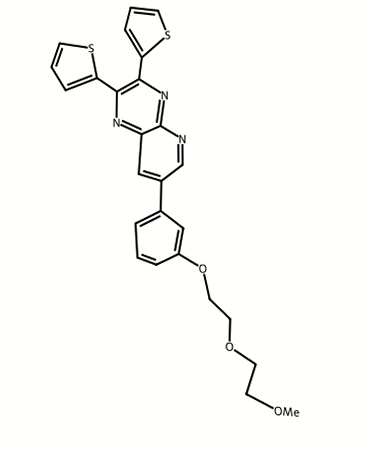 COCCOCCOc1cccc(-c2cnc3nc(-c4cccs4)c(-c4cccs4)nc3c2)c1